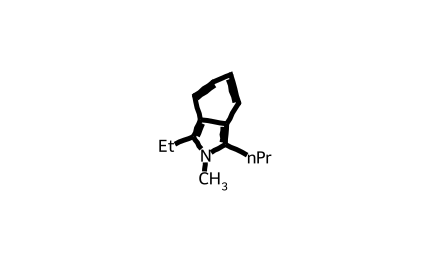 CCCc1c2ccccc2c(CC)n1C